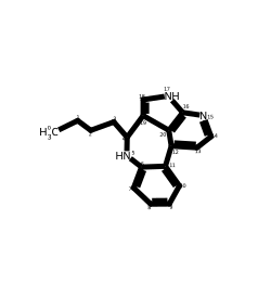 CCCCC1Nc2ccccc2-c2ccnc3[nH]cc1c23